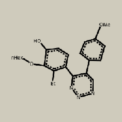 CCCCCCOc1c(O)ccc(-c2nnncc2-c2ccc(OC)cc2)c1CC